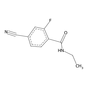 CCNC(=O)c1ccc(C#N)cc1F